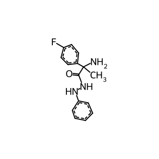 CC(N)(C(=O)NNc1ccccc1)c1ccc(F)cc1